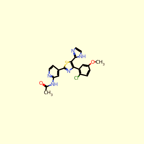 COc1ccc(Cl)c(-c2nc(-c3ccnc(NC(C)=O)c3)sc2-c2ncc[nH]2)c1